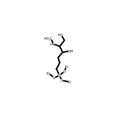 CCO[Si](CCCC(O)C(CO)NC(=O)O)(OCC)OCC